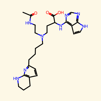 CC(=O)NCCN(CCCCc1ccc2c(n1)NCCC2)CCC(Nc1ncnc2[nH]ccc12)C(=O)O